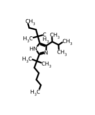 CCCCCC(C)(C)c1nc(C(C)C(C)C)c(C(C)(C)CCC)[nH]1